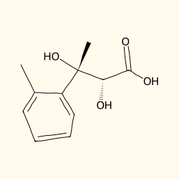 Cc1ccccc1[C@](C)(O)[C@@H](O)C(=O)O